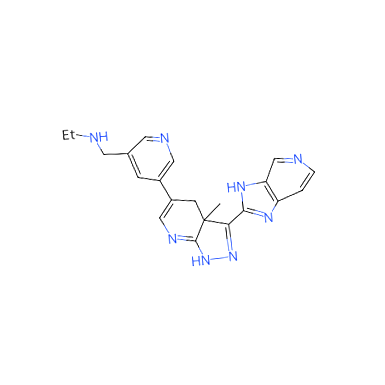 CCNCc1cncc(C2=CN=C3NN=C(c4nc5ccncc5[nH]4)C3(C)C2)c1